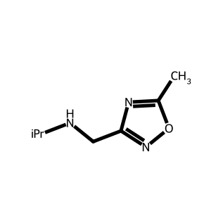 Cc1nc(CNC(C)C)no1